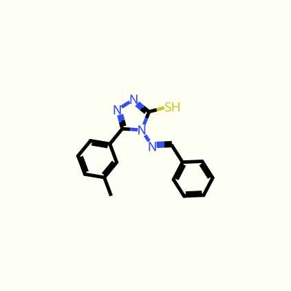 Cc1cccc(-c2nnc(S)n2N=Cc2ccccc2)c1